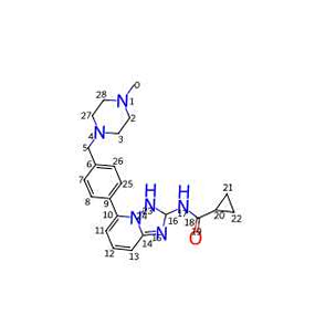 CN1CCN(Cc2ccc(C3=CC=CC4=NC(NC(=O)C5CC5)NN34)cc2)CC1